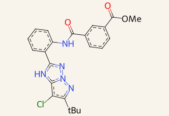 COC(=O)c1cccc(C(=O)Nc2ccccc2-c2nn3nc(C(C)(C)C)c(Cl)c3[nH]2)c1